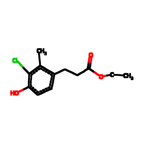 CCOC(=O)CCc1ccc(O)c(Cl)c1C